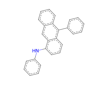 c1ccc(Nc2cccc3c(-c4ccccc4)c4ccccc4cc23)cc1